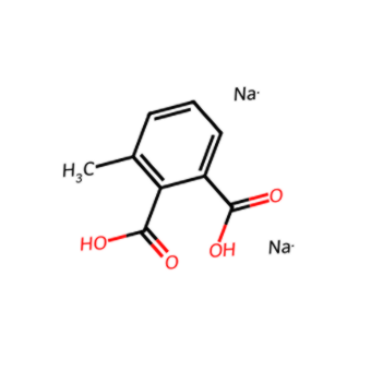 Cc1cccc(C(=O)O)c1C(=O)O.[Na].[Na]